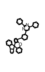 C1=CC2c3ccccc3C3(c4ccccc4Oc4c(-c5cccc(-c6cc(-c7ccccc7)nc(-c7ccccc7)n6)c5)cccc43)C2C=C1